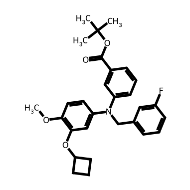 COc1ccc(N(Cc2cccc(F)c2)c2cccc(C(=O)OC(C)(C)C)c2)cc1OC1CCC1